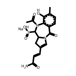 CC(=O)N1c2c(ccc(C)c2O)C(=O)N2C=C(C=CC(N)=O)CC2C1S(=O)O.[Na]